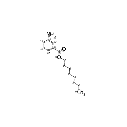 CCCCCCCCOC(=O)c1cccc(N)c1